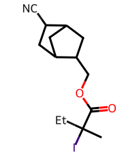 CCC(C)(I)C(=O)OCC1CC2CC1CC2C#N